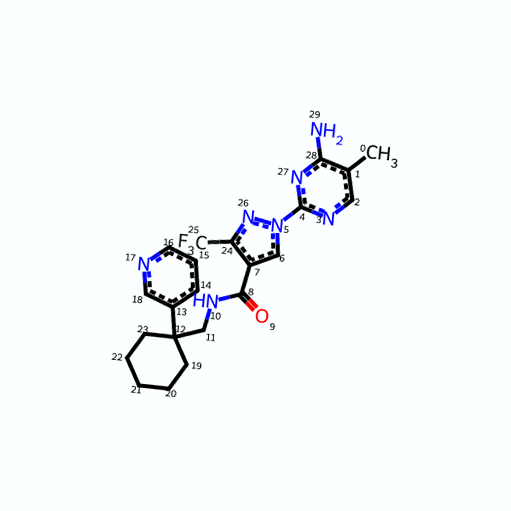 Cc1cnc(-n2cc(C(=O)NCC3(c4cccnc4)CCCCC3)c(C(F)(F)F)n2)nc1N